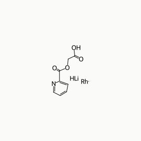 O=C(O)COC(=O)c1ccccn1.[LiH].[Rh]